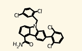 NC(=O)c1cccc2c1c1[c]cc(-c3c(Cl)cccc3Cl)cc1n2Cc1cc(Cl)ccc1Cl